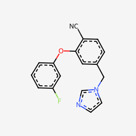 N#Cc1ccc(Cn2ccnc2)cc1Oc1cccc(F)c1